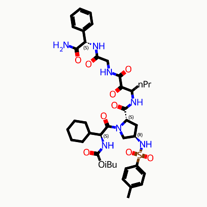 CCCC(NC(=O)[C@@H]1C[C@@H](NS(=O)(=O)c2ccc(C)cc2)CN1C(=O)[C@@H](NC(=O)OCC(C)C)C1CCCCC1)C(=O)C(=O)NCC(=O)N[C@H](C(N)=O)c1ccccc1